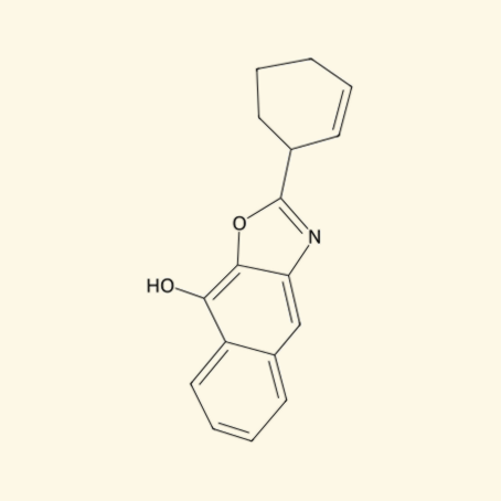 Oc1c2ccccc2cc2nc(C3C=CCCC3)oc12